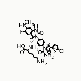 CNc1cc2[nH]c(=O)n(-c3ccc(N(C(N)=O)S(=O)(=O)c4ccc(Cl)s4)cc3)c(=O)c2cc1F.NCCCC[C@H](N)C(=O)O